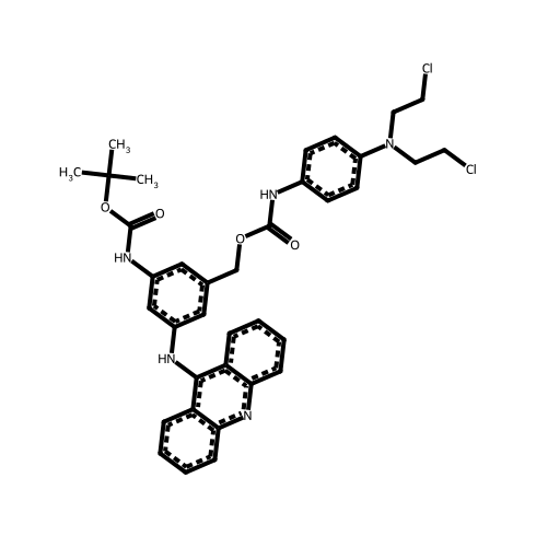 CC(C)(C)OC(=O)Nc1cc(COC(=O)Nc2ccc(N(CCCl)CCCl)cc2)cc(Nc2c3ccccc3nc3ccccc23)c1